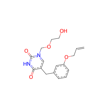 C=CCOc1cccc(Cc2cn(COCCO)c(=O)[nH]c2=O)c1